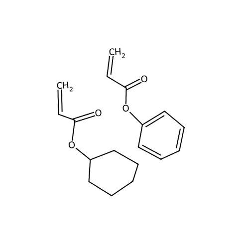 C=CC(=O)OC1CCCCC1.C=CC(=O)Oc1ccccc1